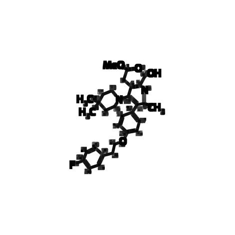 COC(=O)Cc1c(CO)nc(C)c(-c2ccc(OCCc3ccc(F)cc3)cc2)c1N1CCC(C)(C)CC1